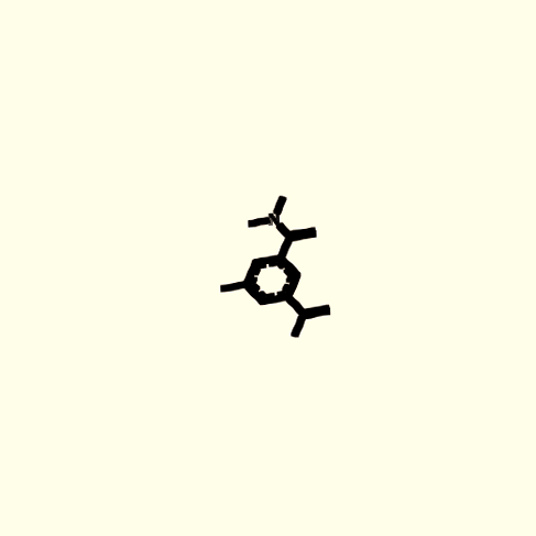 C=C(C)c1cc(C)cc(C(=C)N(C)C)c1